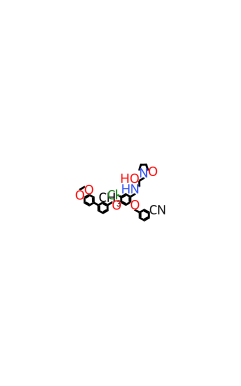 Cc1c(COc2cc(OCc3cccc(C#N)c3)c(CNCC(O)CN3CCCC3=O)cc2Cl)cccc1-c1ccc2c(c1)OCCO2